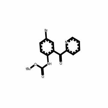 CC(C)(C)OC(=O)Nc1ccc(Br)cc1C(=O)c1ccccn1